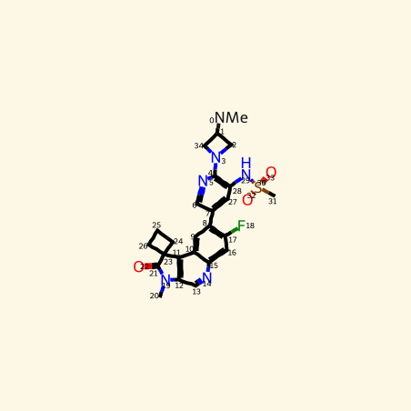 CNC1CN(c2ncc(-c3cc4c5c(cnc4cc3F)N(C)C(=O)C53CCC3)cc2NS(C)(=O)=O)C1